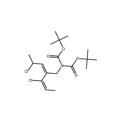 C/C=C(Cl)\C(=C/C(C)Cl)CN(C(=O)OC(C)(C)C)C(=O)OC(C)(C)C